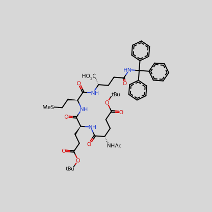 CSCC[C@H](NC(=O)[C@H](CCC(=O)OC(C)(C)C)NC(=O)[C@H](CCC(=O)OC(C)(C)C)NC(C)=O)C(=O)N[C@@H](CCC(=O)NC(c1ccccc1)(c1ccccc1)c1ccccc1)C(=O)O